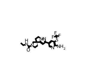 CCNC(=O)N1CC[C@@]2(CCn3nc(-c4cnc(N)c(SC(F)(F)F)c4)cc32)C1